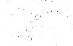 CC(C)(C)OC(=O)N[C@H]1CCN(c2ccc(N3C[C@H](CN(C(=O)OCC(Cl)(Cl)Cl)c4ccon4)OC3=O)cc2F)C1